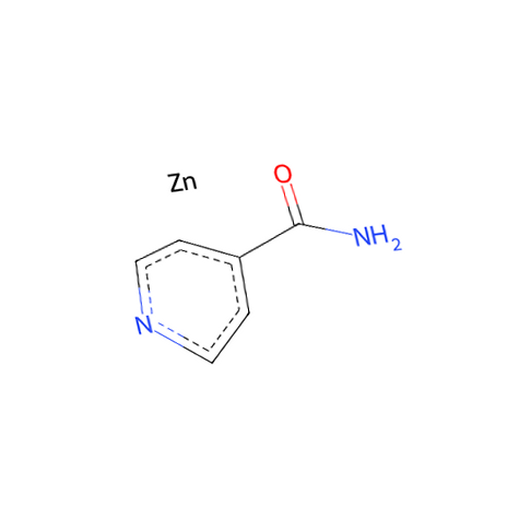 NC(=O)c1ccncc1.[Zn]